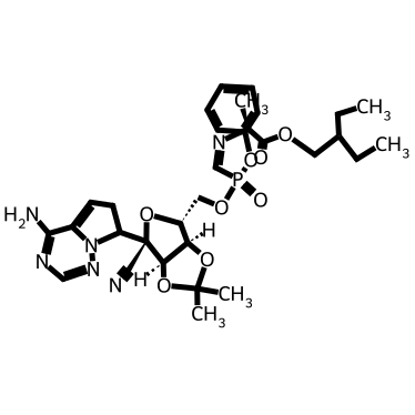 CCC(CC)COC(=O)[C@H](C)/N=C\P(=O)(OC[C@H]1O[C@@](C#N)(C2CC=C3C(N)=NC=NN32)[C@@H]2OC(C)(C)O[C@@H]21)Oc1ccccc1